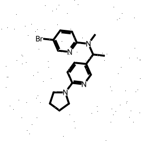 CC(c1ccc(N2CCCC2)nc1)N(C)c1ccc(Br)cn1